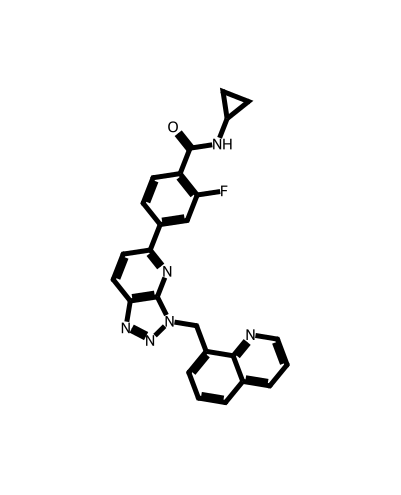 O=C(NC1CC1)c1ccc(-c2ccc3nnn(Cc4cccc5cccnc45)c3n2)cc1F